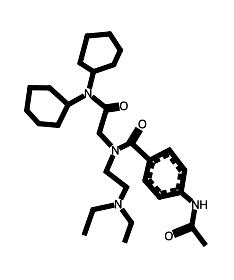 CCN(CC)CCN(CC(=O)N(C1CCCCC1)C1CCCCC1)C(=O)c1ccc(NC(C)=O)cc1